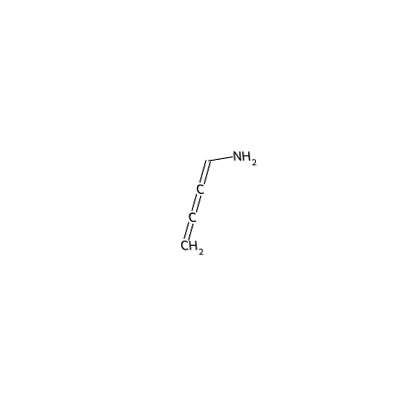 C=C=C=CN